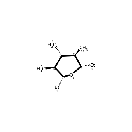 CC[C@@H]1O[C@H](CC)[C@@H](C)[C@H](C)[C@H]1C